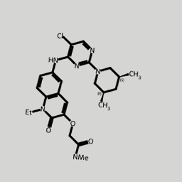 CCn1c(=O)c(OCC(=O)NC)cc2cc(Nc3nc(N4C[C@H](C)C[C@H](C)C4)ncc3Cl)ccc21